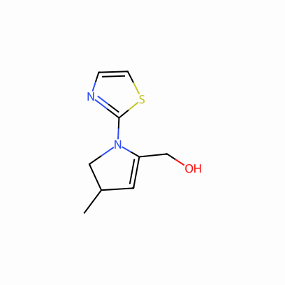 CC1C=C(CO)N(c2nccs2)C1